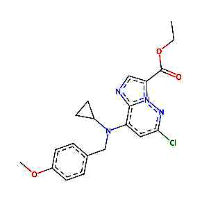 CCOC(=O)c1cnc2c(N(Cc3ccc(OC)cc3)C3CC3)cc(Cl)nn12